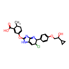 CC1CC=C(Oc2nc3c([nH]2)=CC(Cl)C(c2ccc(OCC(O)C4CC4)cc2)N=3)C=C1C(=O)O